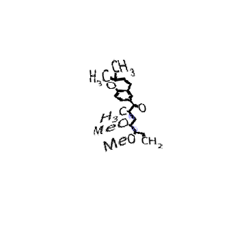 C=C/C(OC)=C(\C=C(/C)C(=O)c1ccc2c(c1)C=CC(C)(C)O2)OC